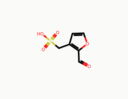 O=Cc1occc1CS(=O)(=O)O